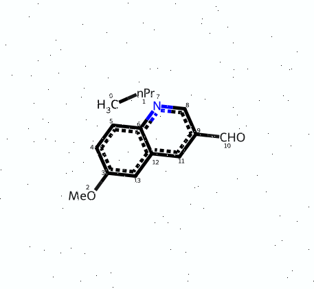 CCCC.COc1ccc2ncc(C=O)cc2c1